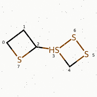 C1CC([SH]2CSS2)S1